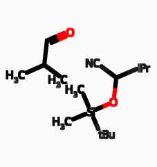 CC(C)C(C#N)O[Si](C)(C)C(C)(C)C.CC(C)C=O